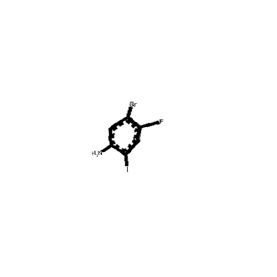 Nc1cc(Br)c(F)cc1I